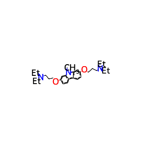 CCN(CC)CCCOc1ccc2c3ccc(OCCCN(CC)CC)cc3n(C)c2c1